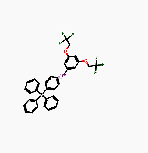 FC(F)(F)COc1cc([PH3+])cc(OCC(F)(F)F)c1.c1ccc([B-](c2ccccc2)(c2ccccc2)c2ccccc2)cc1